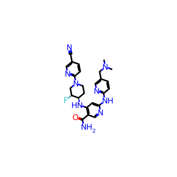 CN(C)Cc1ccc(Nc2cc(N[C@@H]3CCN(c4ccc(C#N)cn4)C[C@@H]3F)c(C(N)=O)cn2)nc1